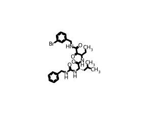 CCC(NC(=O)[C@H](CC(C)C)NC(=O)NCc1ccccc1)C(=O)C(=O)NCc1cccc(Br)c1